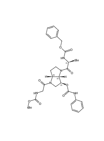 CC(C)(C)OC(=O)NCC(=O)N1C[C@H](OC(=O)Nc2ccccc2)[C@@H]2[C@H]1CCN2C(=O)[C@@H](NC(=O)OCc1ccccc1)C(C)(C)C